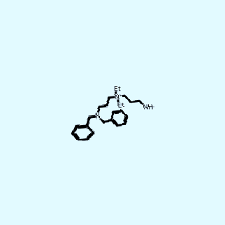 CC[N+](CC)(CCC[NH])CCCN(Cc1ccccc1)Cc1ccccc1